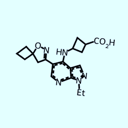 CCn1ncc2c(NC3CC(C(=O)O)C3)c(C3=NOC4(CCC4)C3)cnc21